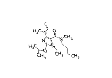 CCCCN(C)C(=O)c1c(N(C)C=O)nc(OC(C)C)n1CC